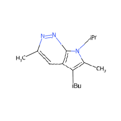 CCC(C)c1c(C)n(C(C)C)c2nnc(C)cc12